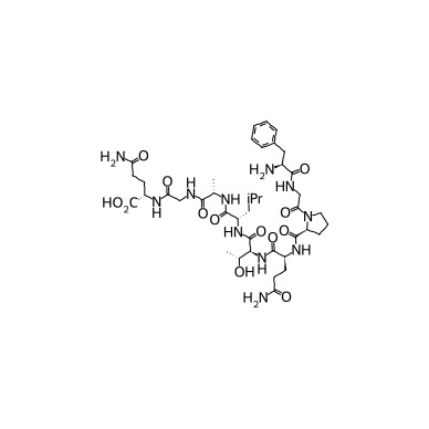 CC(C)C[C@H](NC(=O)[C@@H](NC(=O)[C@H](CCC(N)=O)NC(=O)[C@@H]1CCCN1C(=O)CNC(=O)[C@@H](N)Cc1ccccc1)[C@@H](C)O)C(=O)N[C@@H](C)C(=O)NCC(=O)N[C@@H](CCC(N)=O)C(=O)O